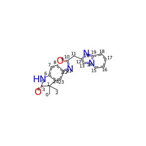 CC1(C)C(=O)Nc2cc3oc(Cc4cn5ccccc5n4)nc3cc21